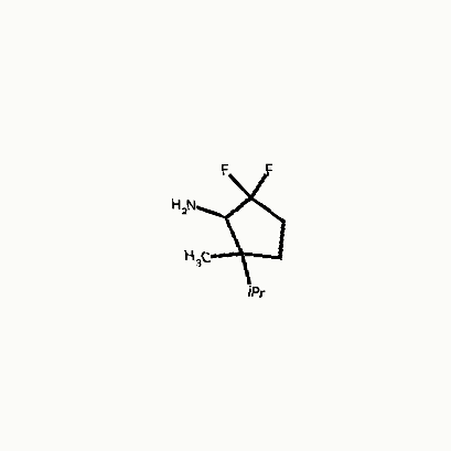 CC(C)C1(C)CCC(F)(F)C1N